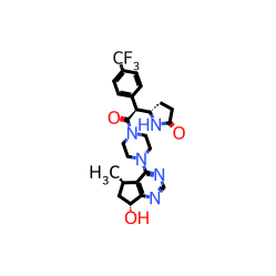 C[C@@H]1C[C@@H](O)c2ncnc(N3CCN(C(=O)[C@@H](c4ccc(C(F)(F)F)cc4)[C@@H]4CCC(=O)N4)CC3)c21